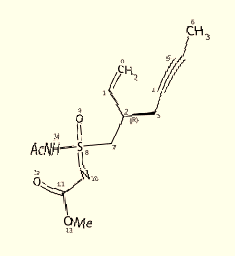 C=C[C@@H](CC#CC)CS(=O)(=NC(=O)OC)NC(C)=O